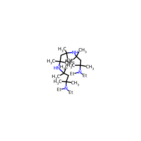 CCN(CC)C(C)(C)CC(C)(C)NC(C)(C)CC(C)(C)NC(C)(C)CC(C)(C)N(CC)CC